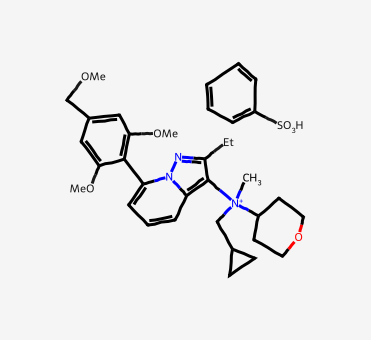 CCc1nn2c(-c3c(OC)cc(COC)cc3OC)cccc2c1[N+](C)(CC1CC1)C1CCOCC1.O=S(=O)(O)c1ccccc1